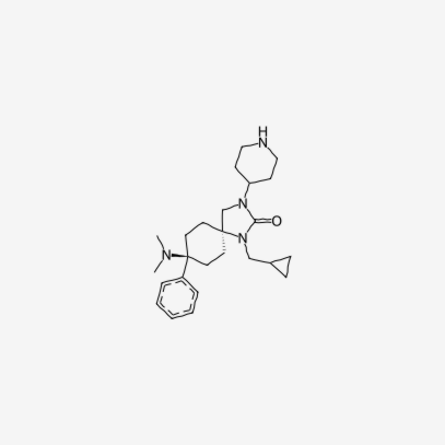 CN(C)[C@]1(c2ccccc2)CC[C@]2(CC1)CN(C1CCNCC1)C(=O)N2CC1CC1